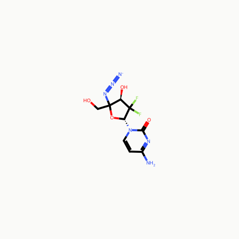 [N-]=[N+]=NC1(CO)O[C@@H](n2ccc(N)nc2=O)C(F)(F)[C@@H]1O